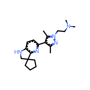 Cc1nn(CCN(C)C)c(C)c1-c1ccc2c(n1)C1(CCCC1)CN2